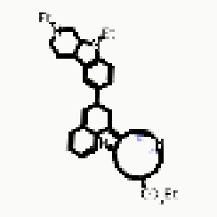 CCOC(=O)C1C/C=N\C=C/C2=C3CC(c4ccc5c(c4)C4CCN(CC)CC4N5CC)C=C4C=CC=CC43N=C2CC1